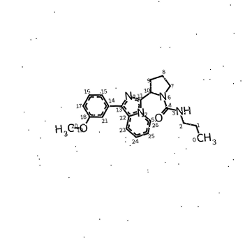 CCCNC(=O)N1CCCC1c1nc(-c2cccc(OC)c2)c2ccccn12